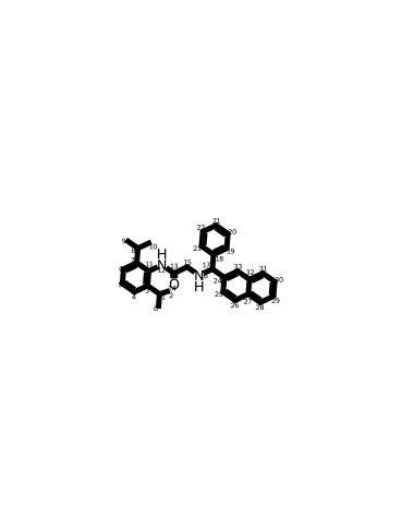 CC(C)c1cccc(C(C)C)c1NC(=O)CNC(c1ccccc1)c1ccc2ccccc2c1